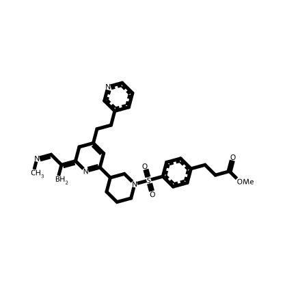 BC(/C=N\C)=C1/CC(CCc2cccnc2)=CC(C2CCCN(S(=O)(=O)c3ccc(CCC(=O)OC)cc3)C2)=N1